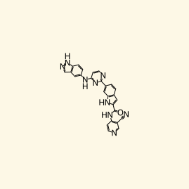 N#Cc1cnccc1NC(=O)c1cc2ccc(-c3nccc(Nc4ccc5[nH]ncc5c4)n3)cc2[nH]1